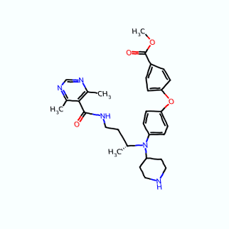 COC(=O)c1ccc(Oc2ccc(N(C3CCNCC3)[C@H](C)CCNC(=O)c3c(C)ncnc3C)cc2)cc1